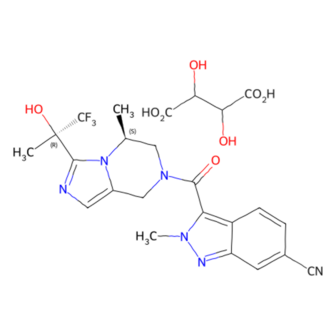 C[C@H]1CN(C(=O)c2c3ccc(C#N)cc3nn2C)Cc2cnc([C@@](C)(O)C(F)(F)F)n21.O=C(O)C(O)C(O)C(=O)O